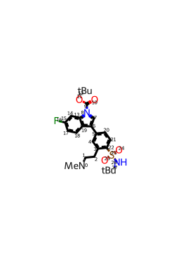 CNCCc1cc(-c2cn(C(=O)OC(C)(C)C)c3cc(F)ccc23)ccc1S(=O)(=O)NC(C)(C)C